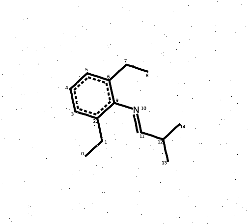 CCc1cccc(CC)c1N=CC(C)C